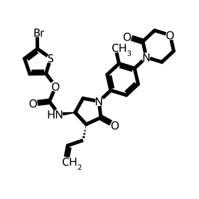 C=CC[C@H]1C(=O)N(c2ccc(N3CCOCC3=O)c(C)c2)C[C@@H]1NC(=O)Oc1ccc(Br)s1